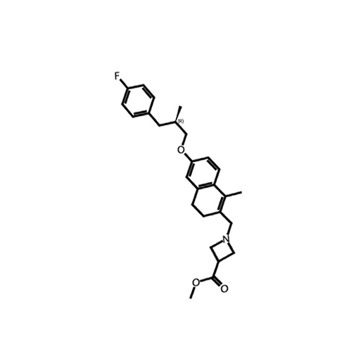 COC(=O)C1CN(CC2=C(C)c3ccc(OC[C@H](C)Cc4ccc(F)cc4)cc3CC2)C1